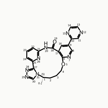 C[C@H]1CCCOc2ncc(-c3cnccn3)cc2C(=O)Nc2cccc(n2)-c2nncn21